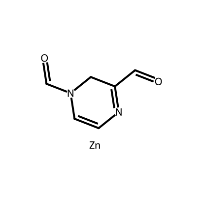 O=CC1=NC=CN(C=O)C1.[Zn]